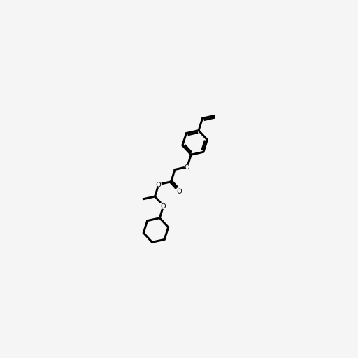 C=Cc1ccc(OCC(=O)OC(C)OC2CCCCC2)cc1